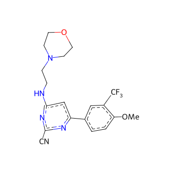 COc1ccc(-c2cc(NCCN3CCOCC3)nc(C#N)n2)cc1C(F)(F)F